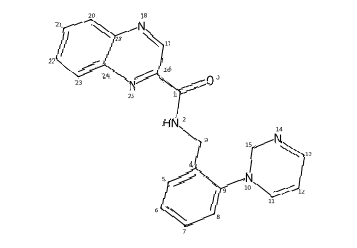 O=C(NCc1ccccc1N1C=CC=NC1)c1cnc2ccccc2n1